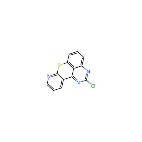 Clc1nc2c3c(cccc3n1)Sc1ncccc1-2